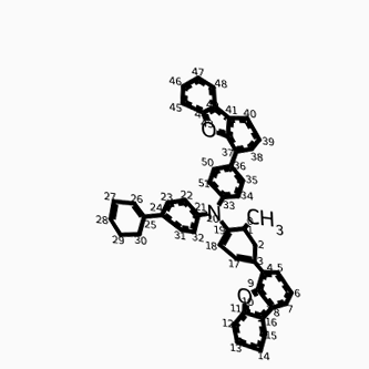 CC1CC(c2cccc3c2oc2ccccc23)=CC=C1N(c1ccc(C2=CC=CCC2)cc1)c1ccc(-c2cccc3c2oc2ccccc23)cc1